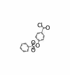 O=C(Cl)c1ccc(OS(=O)(=O)c2ccccc2)cc1